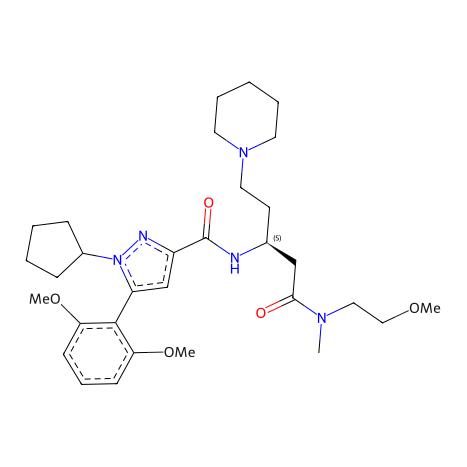 COCCN(C)C(=O)C[C@H](CCN1CCCCC1)NC(=O)c1cc(-c2c(OC)cccc2OC)n(C2CCCC2)n1